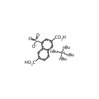 CCCC[P+](CCCC)(CCCC)CCCC.O=C(O)c1cc(S(=O)(=O)[O-])c2cc(C(=O)O)ccc2c1